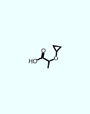 CC(OC1CC1)C(=O)O